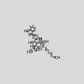 C#CCOCCOCCO[C@]1(C(=O)O)C[C@H](O)[C@@H](NC(=O)CO)[C@H]([C@H](O)[C@H](O)CNC(=O)c2ccccc2O)O1